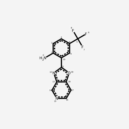 Nc1ccc(C(F)(F)F)cc1-c1nc2cnccc2o1